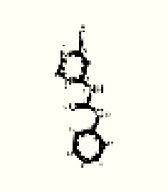 O=C(Nc1cc(Cl)ncn1)Oc1ccccc1